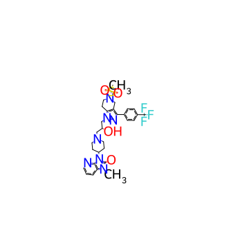 Cn1c(=O)n(C2CCN(CC(O)Cn3nc(-c4ccc(C(F)(F)F)cc4)c4c3CCN(S(C)(=O)=O)C4)CC2)c2ncccc21